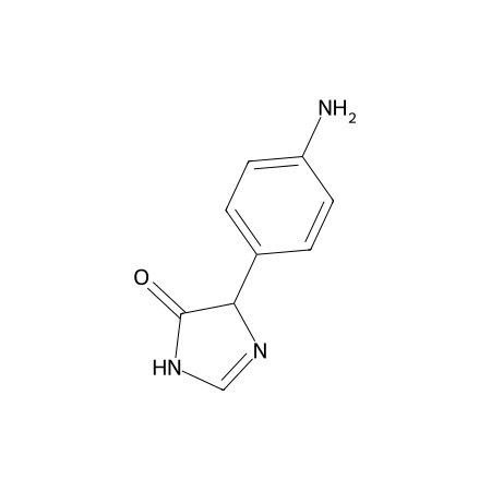 Nc1ccc(C2N=CNC2=O)cc1